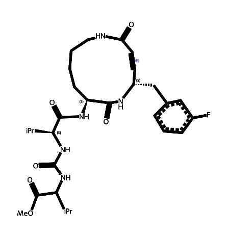 COC(=O)C(NC(=O)N[C@H](C(=O)N[C@H]1CCCCNC(=O)/C=C/[C@H](Cc2cccc(F)c2)NC1=O)C(C)C)C(C)C